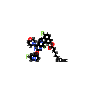 C#Cc1c(F)ccc2cc(OC(=O)CCCCCCCCCCCCCCC)cc(-c3ncc4c(N5CCCOCC5)nc(OC[C@@]56CCCN5C[C@H](F)C6)nc4c3F)c12